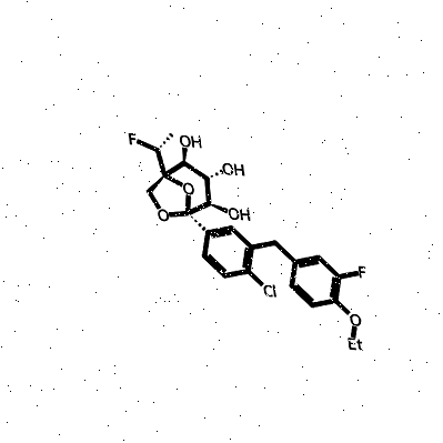 CCOc1ccc(Cc2cc([C@]34OC[C@]([C@@H](C)F)(O3)[C@@H](O)[C@H](O)[C@H]4O)ccc2Cl)cc1F